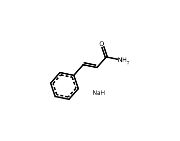 NC(=O)/C=C/c1ccccc1.[NaH]